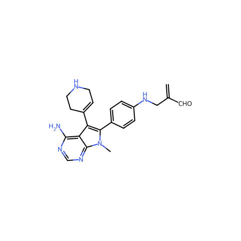 C=C(C=O)CNc1ccc(-c2c(C3=CCNCC3)c3c(N)ncnc3n2C)cc1